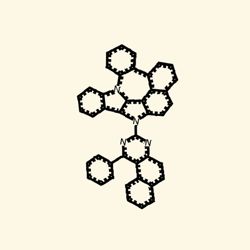 c1ccc(-c2nc(-n3c4ccc5cccc6c7ccccc7n7c8ccccc8c3c7c4c56)nc3ccc4ccccc4c23)cc1